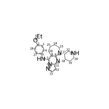 CCOc1ccc(Nc2c3c(nc4ccnn24)N([C@H]2CCCNC2)CCCC3)cc1